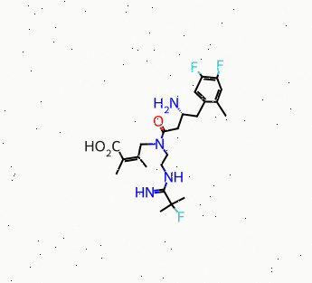 C/C(CN(CCNC(=N)C(C)(C)F)C(=O)C[C@H](N)Cc1cc(F)c(F)cc1C)=C(\C)C(=O)O